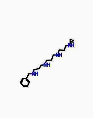 CCNCCCNCCCNCCCNCc1ccccc1